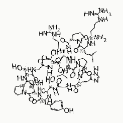 CC(C)C[C@H](NC(=O)[C@H](CCCNC(=N)N)NC(=O)[C@@H]1CCCN1C(=O)[C@H](CC(C)C)NC(=O)[C@@H](N)CCCNC(=N)N)C(=O)N1CCC[C@H]1C(=O)N[C@@H](Cc1c[nH]cn1)C(=O)NCC(=O)N[C@@H](CO)C(=O)N[C@@H](Cc1ccc(O)cc1)C(=O)N[C@H](C(=O)N1CCC[C@H]1C(=O)N[C@H](C(=O)NCC(=O)N[C@H](C(=O)O)[C@@H](C)O)[C@@H](C)O)[C@@H](C)O